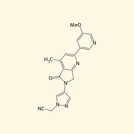 COc1cncc(-c2cc(C)c3c(n2)CN(c2cnn(CC#N)c2)C3=O)c1